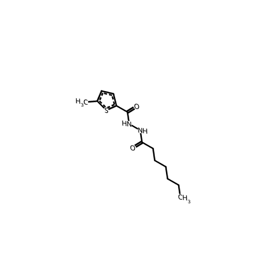 CCCCCCC(=O)NNC(=O)c1ccc(C)s1